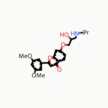 COc1cc(OC)cc(-c2cc(=O)c3ccc(OCC(O)CNC(C)C)cc3o2)c1